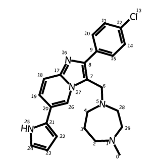 CN1CCCN(Cc2c(-c3ccc(Cl)cc3)nc3ccc(-c4ccc[nH]4)cn23)CC1